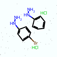 Cl.Cl.NNc1ccc(Br)cc1.NNc1ccccc1